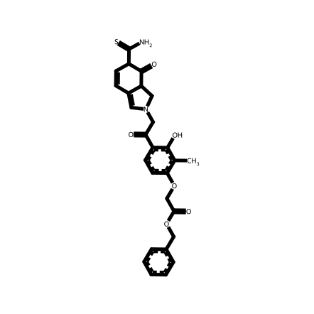 Cc1c(OCC(=O)OCc2ccccc2)ccc(C(=O)CN2C=C3C=CC(C(N)=S)C(=O)C3C2)c1O